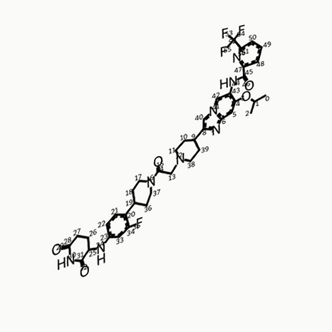 CC(C)Oc1cc2nc(C3CCN(CC(=O)N4CCC(c5ccc(NC6CCC(=O)NC6=O)cc5F)CC4)CC3)cn2cc1NC(=O)c1cccc(C(F)(F)F)n1